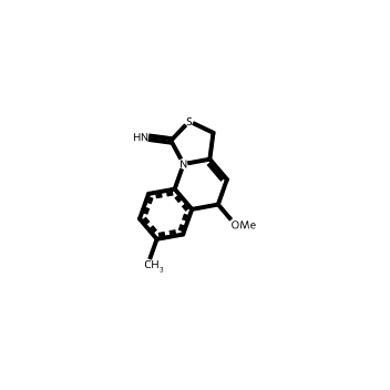 COC1C=C2CSC(=N)N2c2ccc(C)cc21